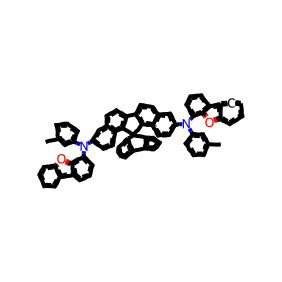 Cc1cccc(N(c2ccc3c4c(ccc3c2)-c2ccc3cc(N(c5cccc(C)c5)c5cccc6c5oc5ccccc56)ccc3c2C42c3ccccc3-c3ccccc32)c2cccc3c2oc2ccccc23)c1